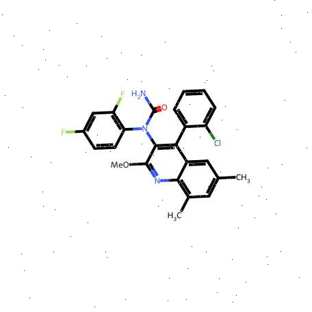 COc1nc2c(C)cc(C)cc2c(-c2ccccc2Cl)c1N(C(N)=O)c1ccc(F)cc1F